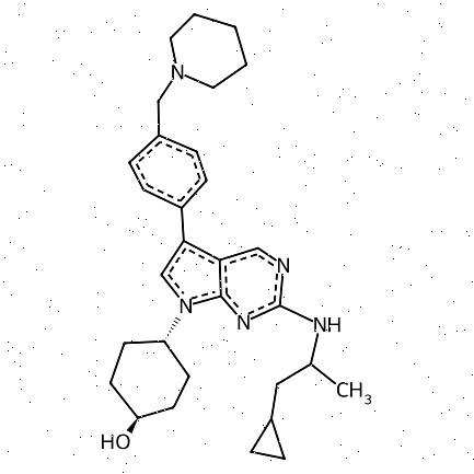 CC(CC1CC1)Nc1ncc2c(-c3ccc(CN4CCCCC4)cc3)cn([C@H]3CC[C@H](O)CC3)c2n1